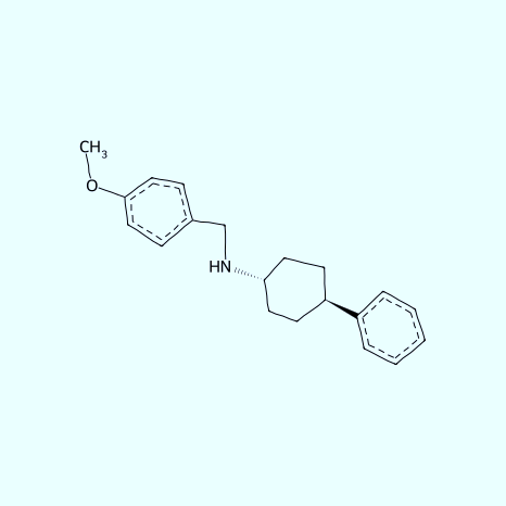 COc1ccc(CN[C@H]2CC[C@H](c3ccccc3)CC2)cc1